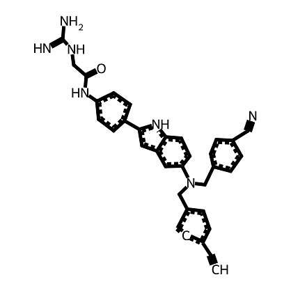 C#Cc1ccc(CN(Cc2ccc(C#N)cc2)c2ccc3[nH]c(-c4ccc(NC(=O)CNC(=N)N)cc4)cc3c2)cc1